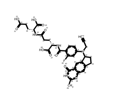 C#CCN(c1ccc(C(=O)N[C@@H](CCC(=O)N[C@H](CCC(=O)O)C(=O)O)C(=O)O)c(F)c1)C1CCc2cc3nc(C)[nH]c(=O)c3cc21